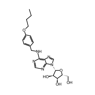 CCCCOc1ccc(CNc2ncnc3c2ncn3[C@@H]2O[C@H](CO)[C@@H](O)[C@H]2O)cc1